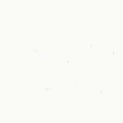 COCOc1c(C)cc(C)cc1Pc1c(C)cccc1/C=N/c1ccccc1